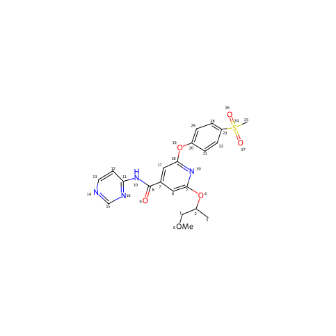 COCC(C)Oc1cc(C(=O)Nc2ccncn2)cc(Oc2ccc(S(C)(=O)=O)cc2)n1